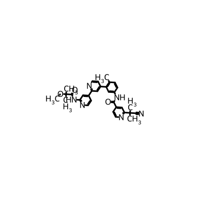 COC(C)(C)C(=O)Nc1cc(-c2cc(-c3cc(NC(=O)c4ccnc(C(C)(C)C#N)c4)ccc3C)ccn2)ccn1